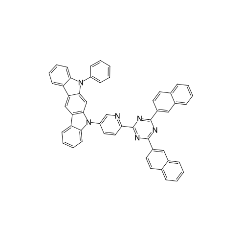 c1ccc(-n2c3ccccc3c3cc4c5ccccc5n(-c5ccc(-c6nc(-c7ccc8ccccc8c7)nc(-c7ccc8ccccc8c7)n6)nc5)c4cc32)cc1